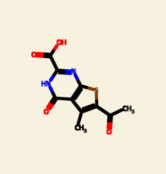 CC(=O)c1sc2nc(C(=O)O)[nH]c(=O)c2c1C